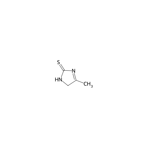 CC1=NC(=S)NC1